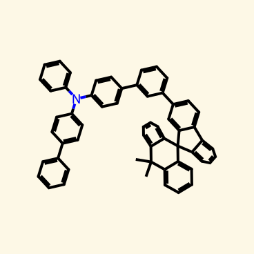 CC1(C)c2ccccc2C2(c3ccccc3-c3ccc(-c4cccc(-c5ccc(N(c6ccccc6)c6ccc(-c7ccccc7)cc6)cc5)c4)cc32)c2ccccc21